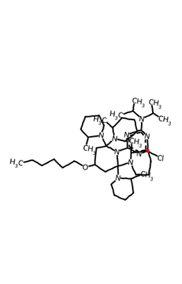 CCCCCCOC1CC(N2CCCCC2C)(N2CCCCC2C)N(c2nc(Cl)nc(N(C(C)C)C(C)C)n2)C(N2CCCCC2C)(N2CCCCC2C)C1